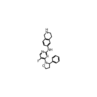 Fc1cnc(Nc2ccc3c(c2)CCNC3)nc1N1OCCC1c1ccccc1